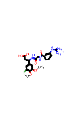 COc1cc(C(CC(=O)O)NC(=O)CNC(=O)c2cccc(NC(=N)N)c2)cc(Br)c1OC